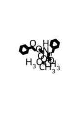 CC(C)(C)OC(=O)[C@H](Cc1ccccc1)NC(=O)OCC(=O)c1ccccc1